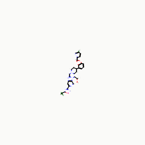 CO[C@H](C)Cn1c(CN2CCC(c3cccc4c3O[C@@](C)(c3ccc(Cl)cn3)O4)CC2)nc2cc(-c3noc(C(F)(F)F)n3)ncc21